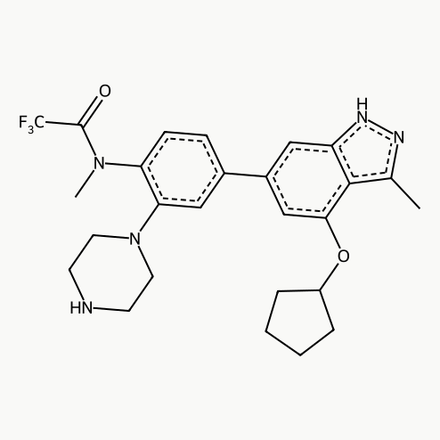 Cc1n[nH]c2cc(-c3ccc(N(C)C(=O)C(F)(F)F)c(N4CCNCC4)c3)cc(OC3CCCC3)c12